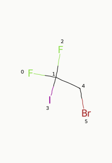 FC(F)(I)CBr